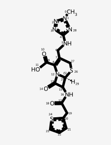 Cn1nnc(NCC2=C(C(=O)O)N3C(=O)C(NC(=O)Cc4cccs4)[C@@H]3SC2)n1